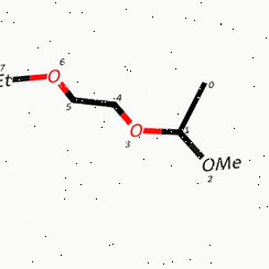 [CH2]C(OC)OCCOCC